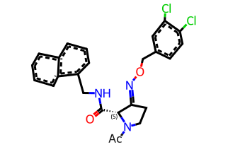 CC(=O)N1CCC(=NOCc2ccc(Cl)c(Cl)c2)[C@H]1C(=O)NCc1cccc2ccccc12